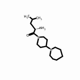 CC(C)C[C@H](N)C(=O)N1CCC(N2CCCCCC2)CC1